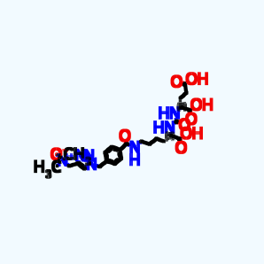 C[N+](C)([O-])Cc1cn(Cc2ccc(C(=O)NCCCC[C@H](NC(=O)N[C@H](CCC(=O)O)C(=O)O)C(=O)O)cc2)nn1